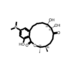 C[C@@H]1CCC(=O)[C@@H](O)[C@@H](O)CCCc2cc(N(C)C)cc(O)c2C(=O)O[C@H]1C